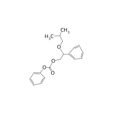 CC(C)COC(COC(=O)Oc1ccccc1)c1ccccc1